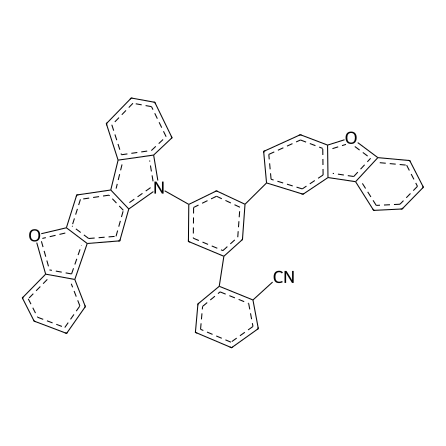 N#Cc1ccccc1-c1cc(-c2ccc3oc4ccccc4c3c2)cc(-n2c3ccccc3c3cc4oc5ccccc5c4cc32)c1